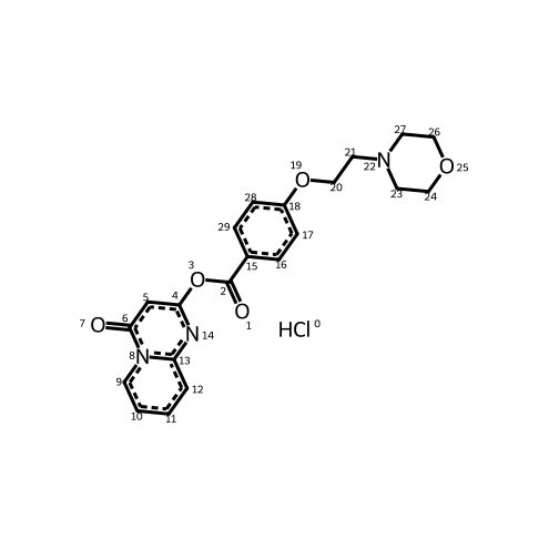 Cl.O=C(Oc1cc(=O)n2ccccc2n1)c1ccc(OCCN2CCOCC2)cc1